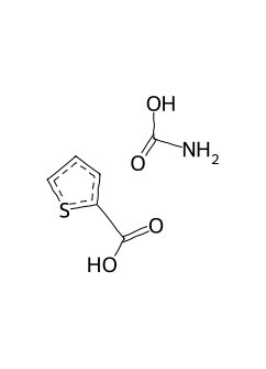 NC(=O)O.O=C(O)c1cccs1